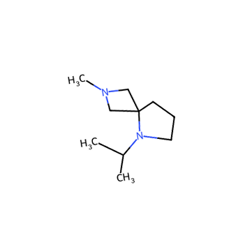 CC(C)N1CCCC12CN(C)C2